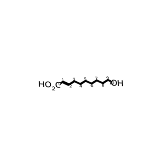 O=C(O)C=CCCCCCCCO